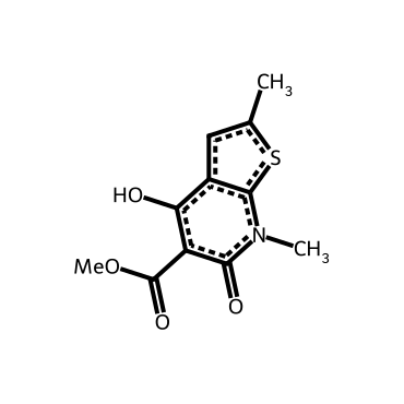 COC(=O)c1c(O)c2cc(C)sc2n(C)c1=O